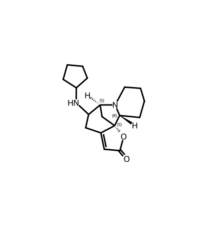 O=C1C=C2CC(NC3CCCC3)[C@@H]3C[C@@]2(O1)[C@H]1CCCCN31